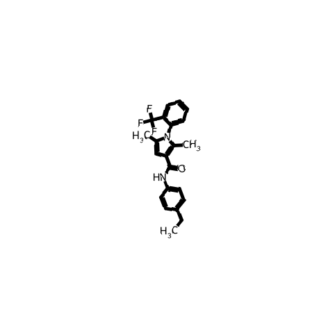 CCc1ccc(NC(=O)c2cc(C)n(-c3ccccc3C(F)(F)F)c2C)cc1